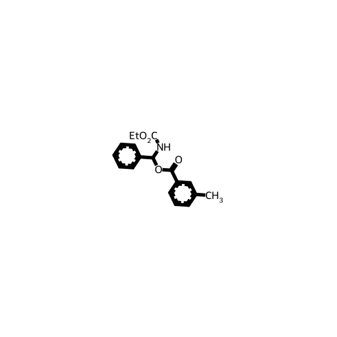 CCOC(=O)NC(OC(=O)c1cccc(C)c1)c1ccccc1